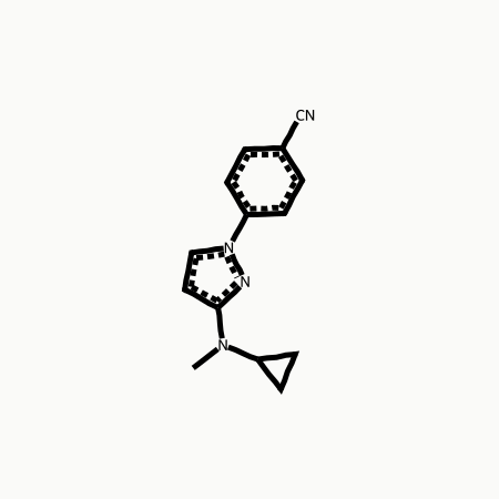 CN(c1ccn(-c2ccc(C#N)cc2)n1)C1CC1